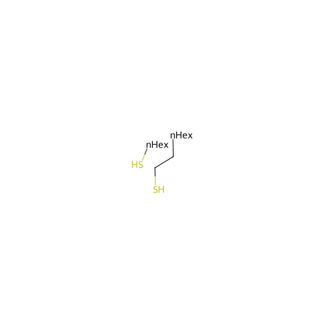 CCCCCCCCS.CCCCCCS